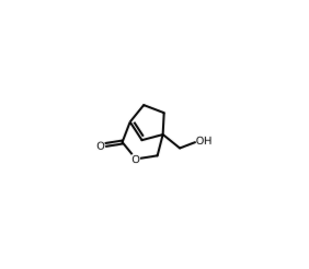 O=C1OCC2(CO)C=C1CC2